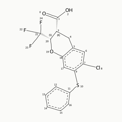 O=C(O)[C@@H]1Cc2cc(Cl)c(Sc3ccccc3)cc2O[C@@H]1C(F)(F)F